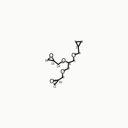 C1CC1COCC(COCC1CO1)OCC1CO1